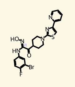 O=C(/C(=N/O)Nc1ccc(F)c(Br)c1)C1CCN(c2nc(-c3ccccn3)cs2)CC1